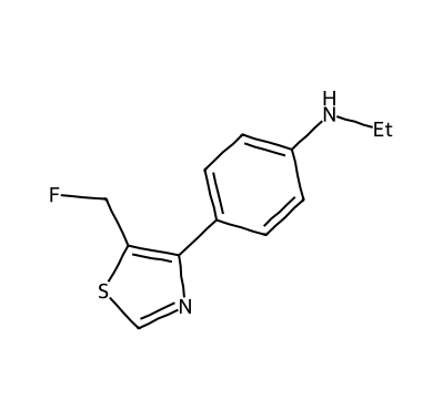 CCNc1ccc(-c2ncsc2CF)cc1